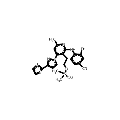 CCc1cc(C#N)ccc1Nc1nc(C)cc(-n2ccc(-c3nccs3)n2)c1CCO[Si](C)(C)C(C)(C)C